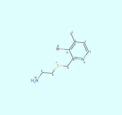 Cc1ccnc(CSCCN)c1Br